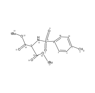 Cc1ccc(S(=O)(=O)NC(C(=O)OC(C)(C)C)C(=O)OC(C)(C)C)cc1